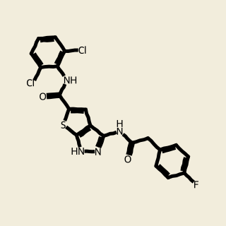 O=C(Cc1ccc(F)cc1)Nc1n[nH]c2sc(C(=O)Nc3c(Cl)cccc3Cl)cc12